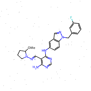 COC1CCCN1/N=C/c1c(N)ncnc1Nc1ccc2c(cnn2Cc2cccc(F)c2)c1